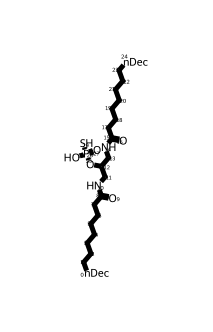 CCCCCCCCCCCCCCCCCC(=O)NCC(CNC(=O)CCCCCCCCCCCCCCCCC)OP(=O)(O)S